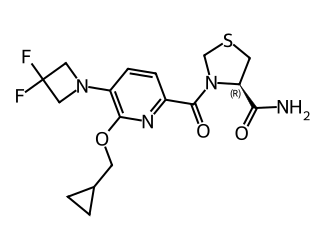 NC(=O)[C@@H]1CSCN1C(=O)c1ccc(N2CC(F)(F)C2)c(OCC2CC2)n1